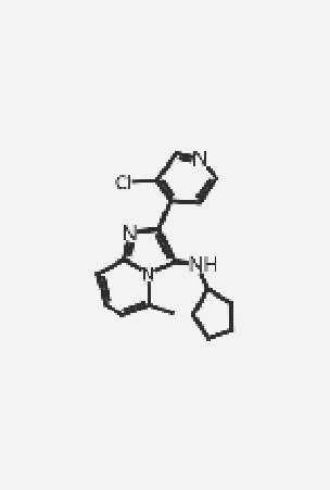 Cc1cccc2nc(-c3ccncc3Cl)c(NC3CCCC3)n12